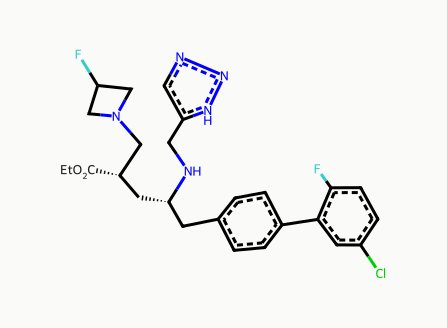 CCOC(=O)[C@@H](C[C@@H](Cc1ccc(-c2cc(Cl)ccc2F)cc1)NCc1cnn[nH]1)CN1CC(F)C1